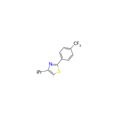 CC(C)c1[c]sc(-c2ccc(C(F)(F)F)cc2)n1